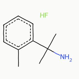 Cc1ccccc1C(C)(C)N.F